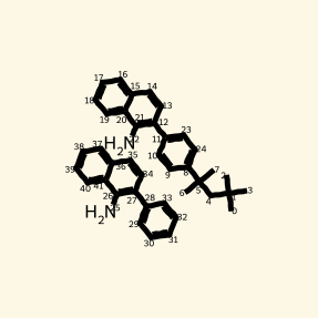 CC(C)(C)CC(C)(C)c1ccc(-c2ccc3ccccc3c2N)cc1.Nc1c(-c2ccccc2)ccc2ccccc12